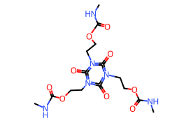 CNC(=O)OCCn1c(=O)n(CCOC(=O)NC)c(=O)n(CCOC(=O)NC)c1=O